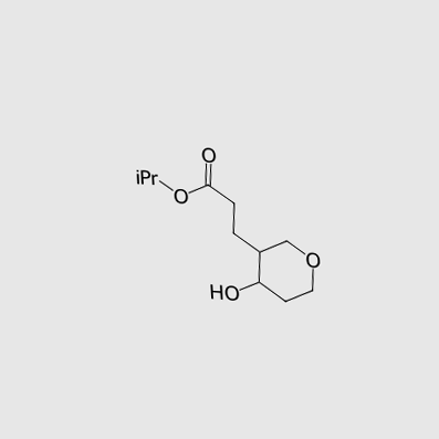 CC(C)OC(=O)CCC1COCCC1O